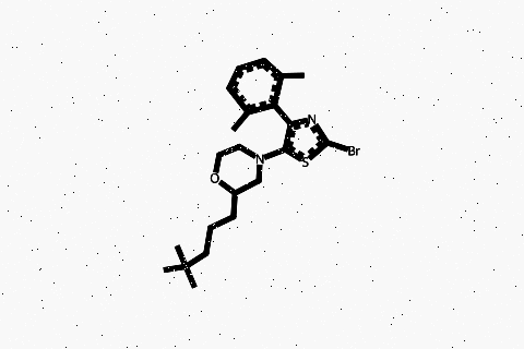 Cc1cccc(C)c1-c1nc(Br)sc1N1CCOC(CCCC(C)(C)C)C1